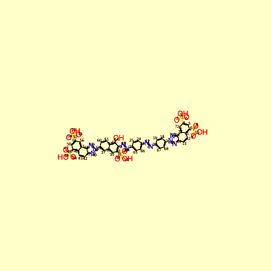 O=S(=O)(O)c1cc(S(=O)(=O)O)c2ccc3nn(-c4ccc(N=Nc5ccc(N=Nc6c(S(=O)(=O)O)cc7cc(-n8nc9ccc%10c(S(=O)(=O)O)cc(S(=O)(=O)O)cc%10c9n8)ccc7c6O)cc5)cc4)nc3c2c1